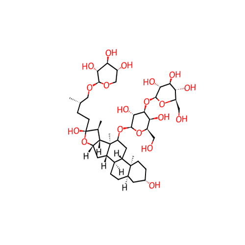 C[C@@H](CC[C@@]1(O)O[C@H]2C[C@H]3[C@@H]4CC[C@@H]5C[C@@H](O)CC[C@]5(C)[C@H]4CC(O[C@@H]4O[C@H](CO)[C@H](O)[C@H](O[C@@H]5O[C@H](CO)[C@@H](O)[C@H](O)[C@H]5O)[C@H]4O)[C@]3(C)[C@H]2[C@@H]1C)CO[C@@H]1OC[C@@H](O)[C@H](O)[C@H]1O